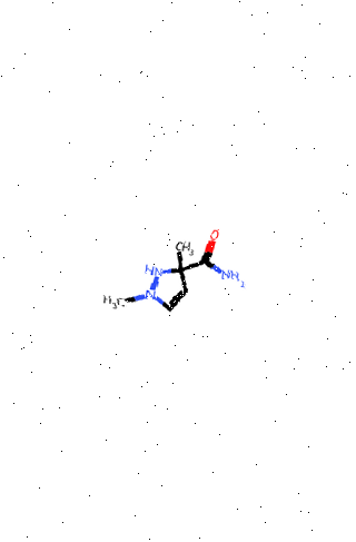 CN1C=CC(C)(C(N)=O)N1